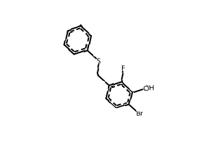 Oc1c(Br)ccc(CSc2ccccc2)c1F